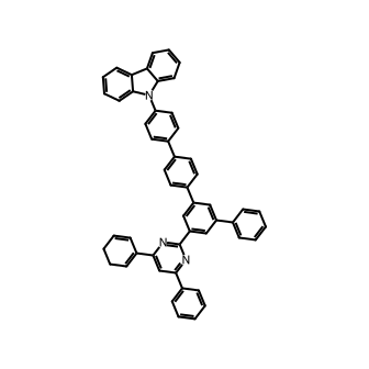 C1=CC(c2cc(-c3ccccc3)nc(-c3cc(-c4ccccc4)cc(-c4ccc(-c5ccc(-n6c7ccccc7c7ccccc76)cc5)cc4)c3)n2)=CCC1